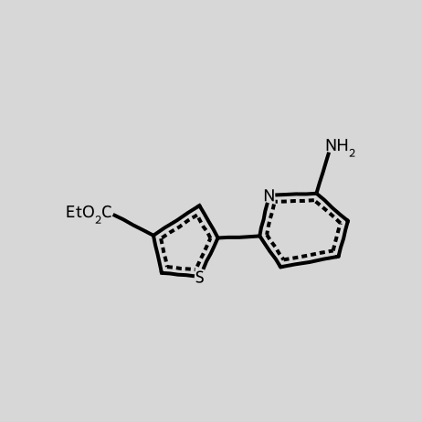 CCOC(=O)c1csc(-c2cccc(N)n2)c1